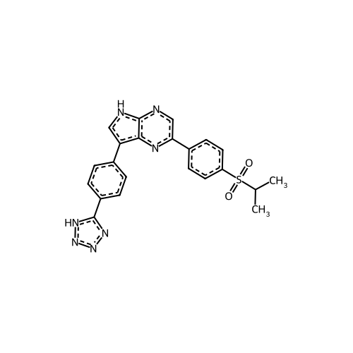 CC(C)S(=O)(=O)c1ccc(-c2cnc3[nH]cc(-c4ccc(-c5nnn[nH]5)cc4)c3n2)cc1